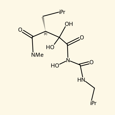 CNC(=O)[C@H](CC(C)C)C(O)(O)C(=O)N(O)C(=O)NCC(C)C